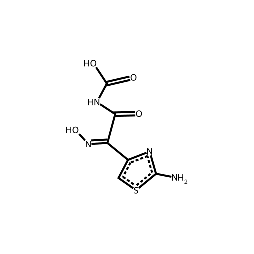 Nc1nc(C(=NO)C(=O)NC(=O)O)cs1